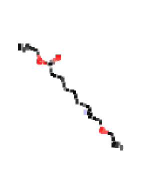 CCOC/C=C/CCCCCC(=O)OCC